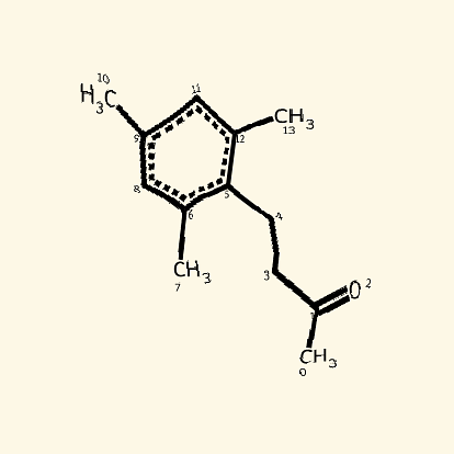 CC(=O)CCc1c(C)cc(C)cc1C